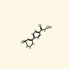 O=C1C=C(c2ccc(C(=O)CO)cc2)CCC1